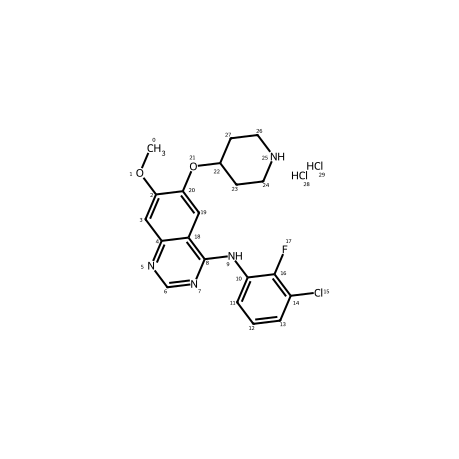 COc1cc2ncnc(Nc3cccc(Cl)c3F)c2cc1OC1CCNCC1.Cl.Cl